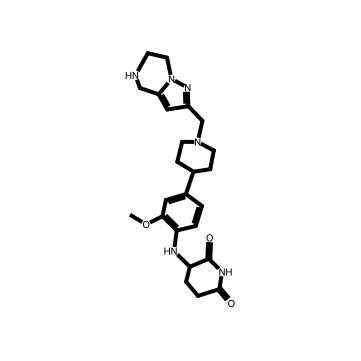 COc1cc(C2CCN(Cc3cc4n(n3)CCNC4)CC2)ccc1NC1CCC(=O)NC1=O